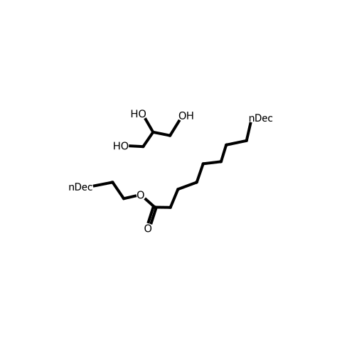 CCCCCCCCCCCCCCCCCC(=O)OCCCCCCCCCCCC.OCC(O)CO